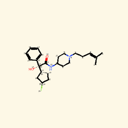 CC(C)=CCCN1CCC(NC(=O)[C@](O)(c2ccccc2)[C@@H]2CC[C@@H](F)C2)CC1